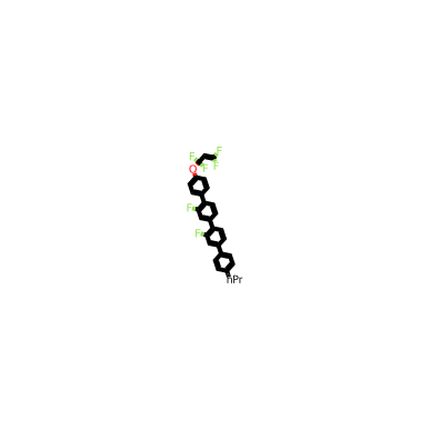 CCCc1ccc(-c2ccc(-c3ccc(-c4ccc(OC(F)(F)C=C(F)F)cc4)c(F)c3)c(F)c2)cc1